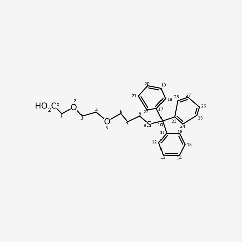 O=C(O)COCCOCCCSC(c1ccccc1)(c1ccccc1)c1ccccc1